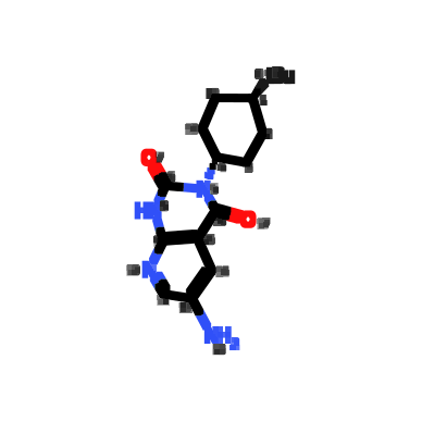 CC(C)(C)[C@H]1CC[C@H](n2c(=O)[nH]c3ncc(N)cc3c2=O)CC1